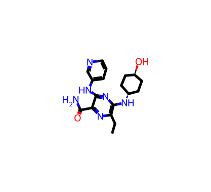 CCc1nc(C(N)=O)c(Nc2cccnc2)nc1N[C@H]1CC[C@H](O)CC1